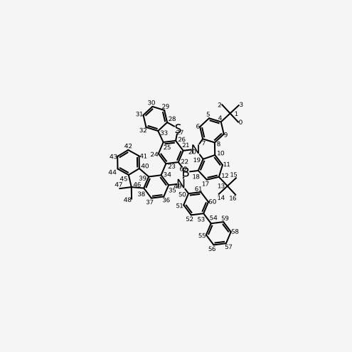 CC(C)(C)c1ccc2c(c1)c1cc(C(C)(C)C)cc3c1n2-c1c2c(cc4c1sc1ccccc14)-c1c(ccc4c1-c1ccccc1C4(C)C)N(c1ccc(-c4ccccc4)cc1)B23